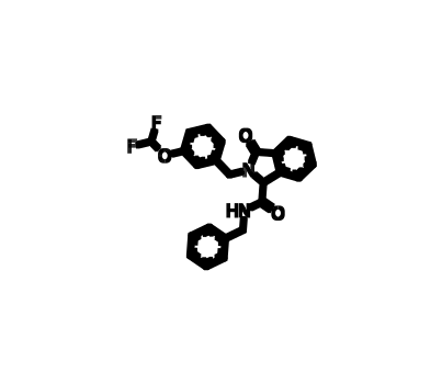 O=C(NCc1ccccc1)C1c2ccccc2C(=O)N1Cc1cccc(OC(F)F)c1